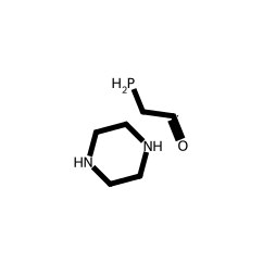 C1CNCCN1.O=[C]CP